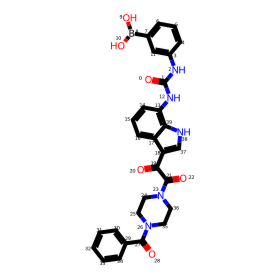 O=C(Nc1cccc(B(O)O)c1)Nc1cccc2c(C(=O)C(=O)N3CCN(C(=O)c4ccccc4)CC3)c[nH]c12